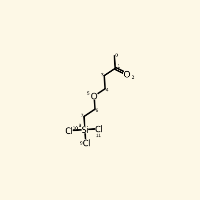 CC(=O)CCOCC[Si](Cl)(Cl)Cl